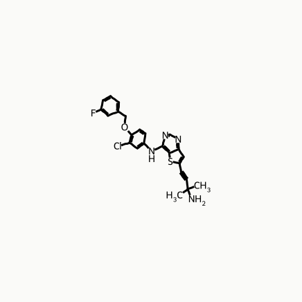 CC(C)(N)C#Cc1cc2ncnc(Nc3ccc(OCc4cccc(F)c4)c(Cl)c3)c2s1